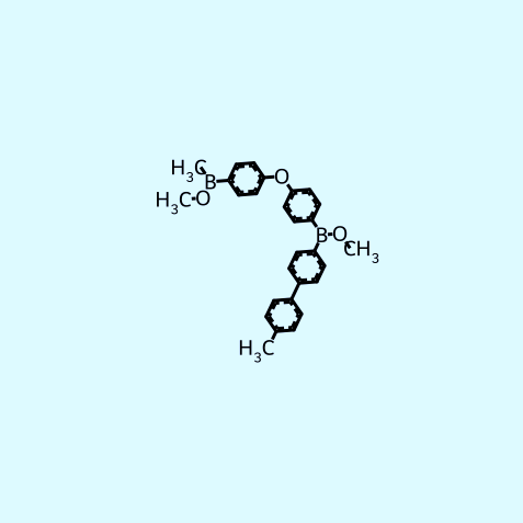 COB(C)c1ccc(Oc2ccc(B(OC)c3ccc(-c4ccc(C)cc4)cc3)cc2)cc1